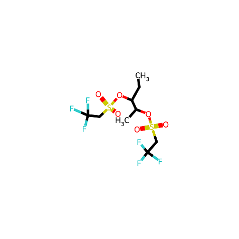 CCC(OS(=O)(=O)CC(F)(F)F)C(C)OS(=O)(=O)CC(F)(F)F